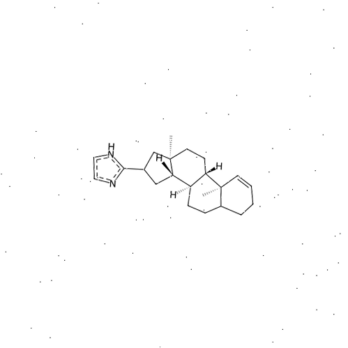 C[C@]12CC[C@H]3[C@@H](CCC4CCC=C[C@@]43C)[C@@H]1CC(c1ncc[nH]1)C2